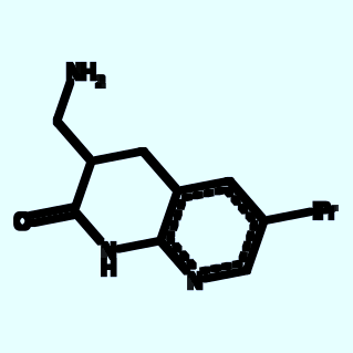 CC(C)c1cnc2c(c1)CC(CN)C(=O)N2